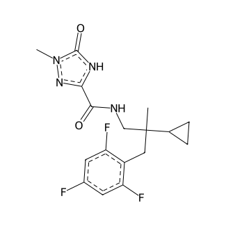 Cn1nc(C(=O)NCC(C)(Cc2c(F)cc(F)cc2F)C2CC2)[nH]c1=O